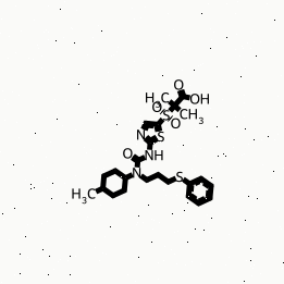 CC1CCC(N(CCCSc2ccccc2)C(=O)Nc2ncc(S(=O)(=O)C(C)(C)C(=O)O)s2)CC1